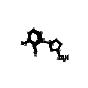 O=C(O)N1CC[C@@H](n2cccc(Br)c2=O)C1